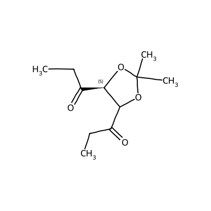 CCC(=O)C1OC(C)(C)O[C@@H]1C(=O)CC